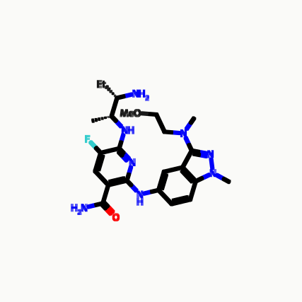 CC[C@H](N)[C@@H](C)Nc1nc(Nc2ccc3c(c2)c(N(C)CCOC)nn3C)c(C(N)=O)cc1F